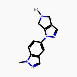 Cn1ncc2cc(-n3ncc4c3CN(C#N)C4)ccc21